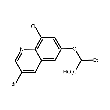 CCC(Oc1cc(Cl)c2ncc(Br)cc2c1)C(=O)O